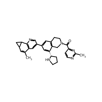 CC1=CC2CC2c2ncc(-c3cc4c(c([C@@H]5CCCN5)c3)CN(C(=O)c3ccnc(C)n3)CC4)cc21